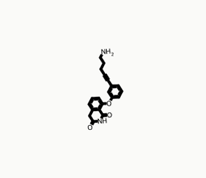 NCCCC#Cc1cccc(Oc2cccc3c2C(=O)NC(=O)C3)c1